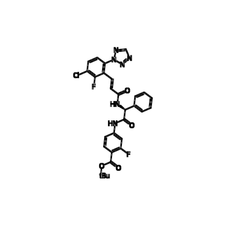 CC(C)(C)OC(=O)c1ccc(NC(=O)[C@@H](NC(=O)/C=C/c2c(-n3ncnn3)ccc(Cl)c2F)c2ccccc2)cc1F